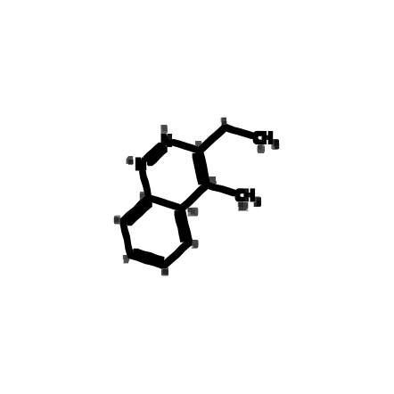 CCc1nnc2ccccc2c1C